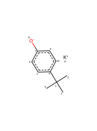 CC(C)(C)c1ccc([O-])cc1.[K+]